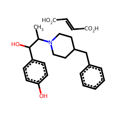 CC(C(O)c1ccc(O)cc1)N1CCC(Cc2ccccc2)CC1.O=C(O)/C=C/C(=O)O